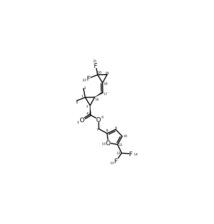 CC1(C)[C@H](C(=O)OCc2ccc(C(F)F)o2)[C@@H]1/C=C1/CC1(F)F